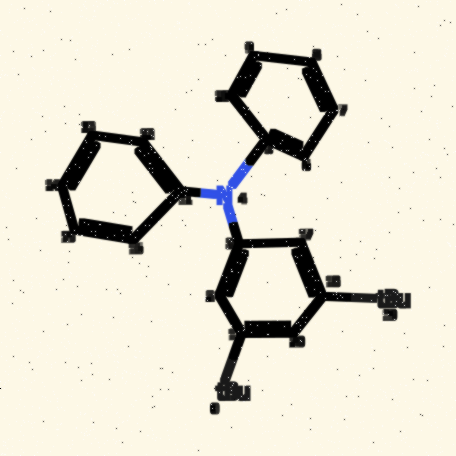 CC(C)(C)c1cc(N(c2ccccc2)c2ccccc2)cc(C(C)(C)C)c1